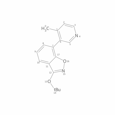 Cc1ccncc1-c1cccc2c(OC(C)(C)C)noc12